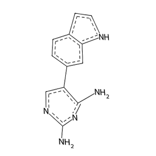 Nc1ncc(-c2ccc3cc[nH]c3c2)c(N)n1